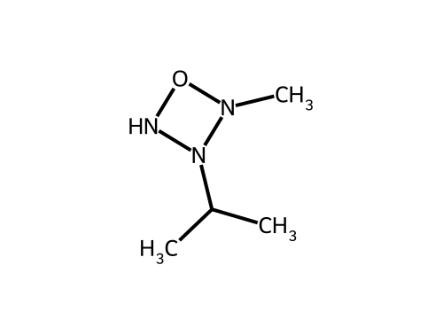 CC(C)N1NON1C